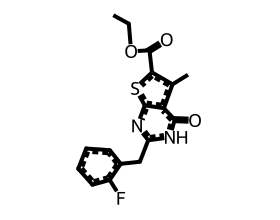 CCOC(=O)c1sc2nc(Cc3ccccc3F)[nH]c(=O)c2c1C